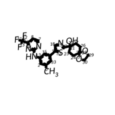 Cc1cc(Nc2nccc(C(F)(F)F)n2)cc(-c2cnc(C3(O)CCC4(CC3)OCCO4)s2)c1